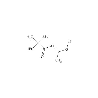 CCOC(C)OC(=O)C(C)(C(C)CC)C(C)(C)C